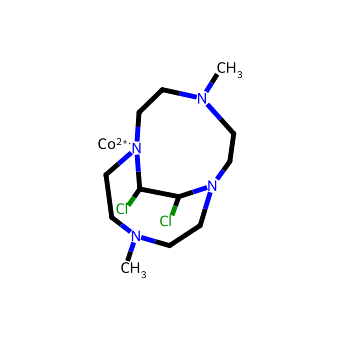 CN1CCN2CCN(C)CCN(CC1)C(Cl)C2Cl.[Co+2]